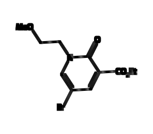 CCOC(=O)c1cc(Br)cn(CCOC)c1=O